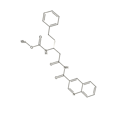 CC(C)(C)OC(=O)N[C@H](CCc1ccccc1)CC(=O)NC(=O)c1cnc2ccccc2c1